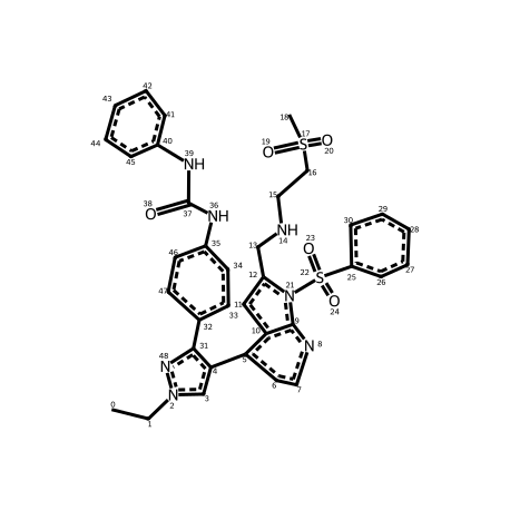 CCn1cc(-c2ccnc3c2cc(CNCCS(C)(=O)=O)n3S(=O)(=O)c2ccccc2)c(-c2ccc(NC(=O)Nc3ccccc3)cc2)n1